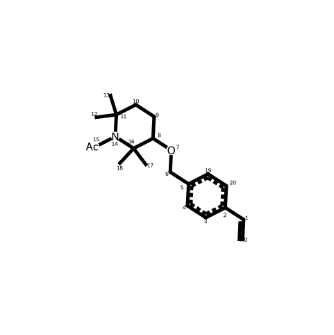 C=Cc1ccc(COC2CCC(C)(C)N(C(C)=O)C2(C)C)cc1